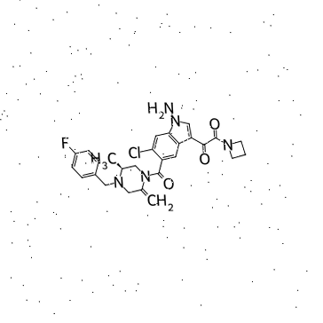 C=C1CN(Cc2ccc(F)cc2)[C@@H](C)CN1C(=O)c1cc2c(C(=O)C(=O)N3CCC3)cn(N)c2cc1Cl